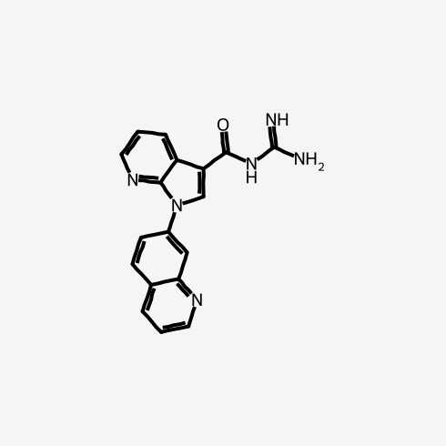 N=C(N)NC(=O)c1cn(-c2ccc3cccnc3c2)c2ncccc12